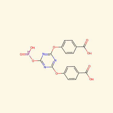 O=C(O)c1ccc(Oc2nc(Oc3ccc(C(=O)O)cc3)nc(O[PH](=O)O)n2)cc1